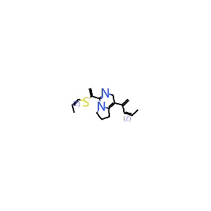 C=C(/C=C\C)C1=C2CCCN2C(C(=C)S/C=C\C)=NC1